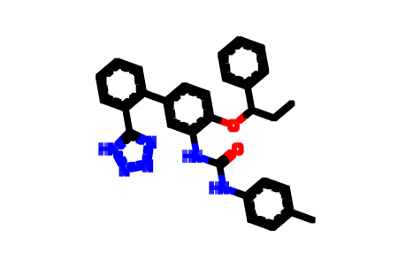 CCC(Oc1ccc(-c2ccccc2-c2nnn[nH]2)cc1NC(=O)Nc1ccc(C)cc1)c1ccccc1